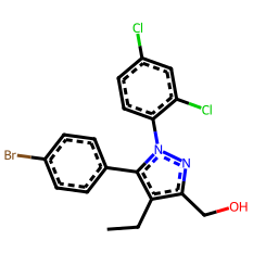 CCc1c(CO)nn(-c2ccc(Cl)cc2Cl)c1-c1ccc(Br)cc1